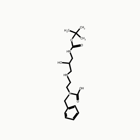 CC(C)(C)OC(=O)NCC(O)CNCCN(Cc1ccccc1)C(=O)O